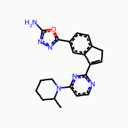 CC1CCCCN1c1ccnc(C2=CCc3ccc(-c4nnc(N)o4)cc32)n1